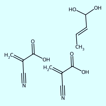 C=C(C#N)C(=O)O.C=C(C#N)C(=O)O.CC=CC(O)O